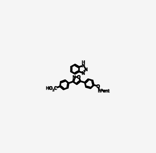 CCCCCOc1ccc(-c2cc(-c3ccc(C(=O)O)cc3)no2)cc1.c1ccc2[nH]nnc2c1